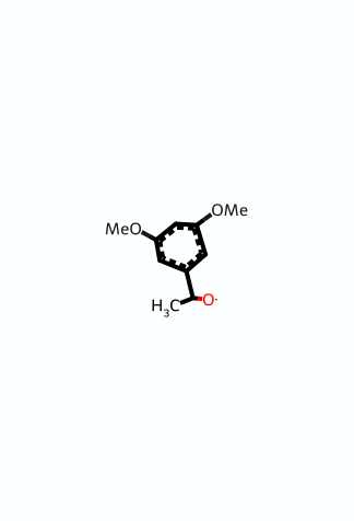 COc1cc(OC)cc(C(C)[O])c1